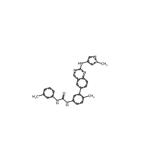 Cc1cccc(NC(=O)Nc2ccc(C)c(-c3ccc4nc(Nc5cnn(C)c5)ncc4c3)c2)c1